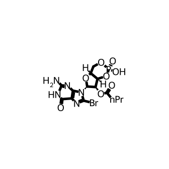 CCCC(=O)O[C@@H]1[C@@H]2OP(=O)(O)OC[C@H]2O[C@H]1n1c(Br)nc2c(=O)[nH]c(N)nc21